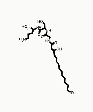 CC(C)CCCCCCCCCCCC(O)CC(=O)NCC(=O)NC(CO)C(=O)NC(CCCN)C(=O)O